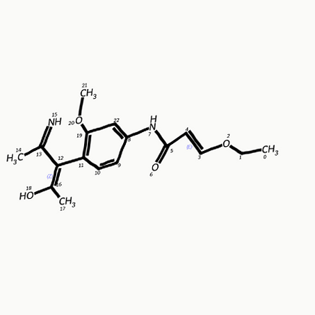 CCO/C=C/C(=O)Nc1ccc(/C(C(C)=N)=C(\C)O)c(OC)c1